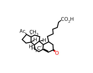 CC(=O)[C@@H]1CC[C@H]2[C@@H]3CCC4=CC(=O)CC(CCCCCC(=O)O)[C@]4(C)[C@H]3CC[C@]12C